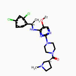 CCOc1cnc(N2CCN(C(=O)[C@H]3CCN(C)C3)CC2)nc1N[C@H](C)c1ccc(Cl)cc1Cl